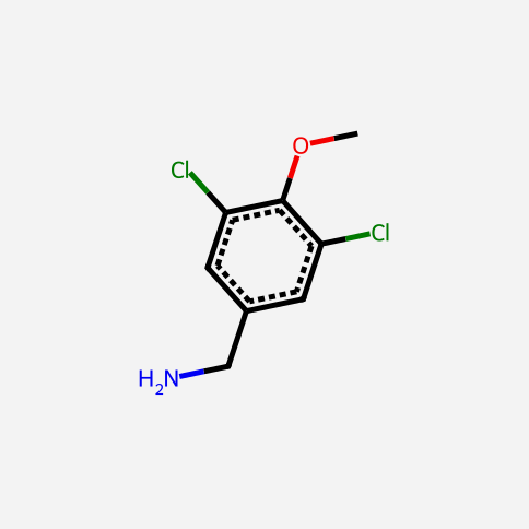 COc1c(Cl)cc(CN)cc1Cl